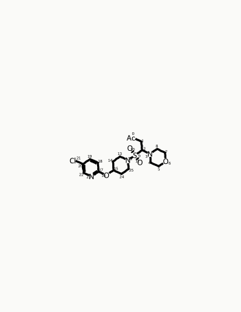 CC(=O)CC(N1CCOCC1)S(=O)(=O)N1CCC(Oc2ccc(Cl)cn2)CC1